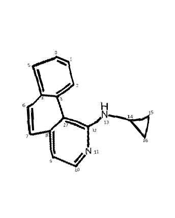 c1ccc2c(c1)ccc1ccnc(NC3CC3)c12